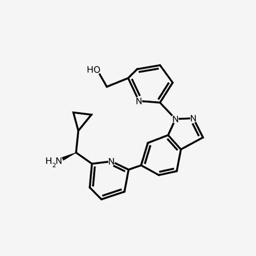 N[C@H](c1cccc(-c2ccc3cnn(-c4cccc(CO)n4)c3c2)n1)C1CC1